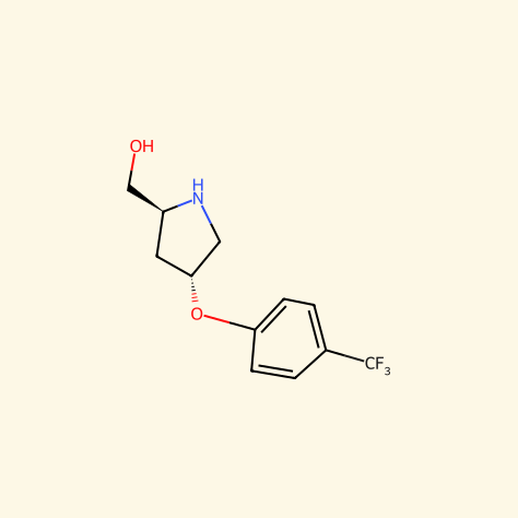 OC[C@@H]1C[C@@H](Oc2ccc(C(F)(F)F)cc2)CN1